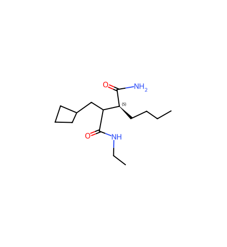 CCCC[C@H](C(N)=O)C(CC1CCC1)C(=O)NCC